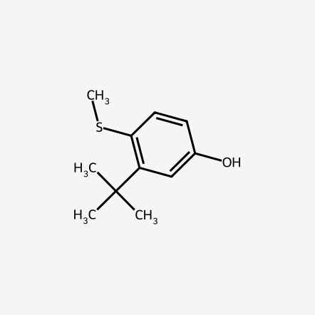 CSc1ccc(O)cc1C(C)(C)C